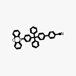 N#Cc1ccc(-c2ccc(C(c3ccccc3)(c3ccccc3)c3ccc(N4c5ccccc5Oc5ccccc54)cc3)cc2)cc1